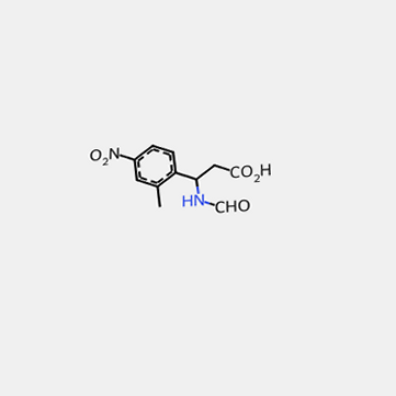 Cc1cc([N+](=O)[O-])ccc1C(CC(=O)O)NC=O